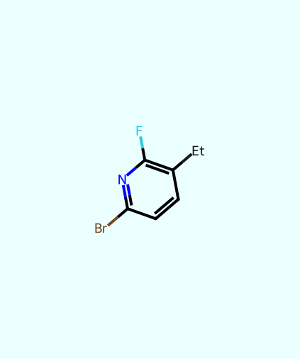 CCc1ccc(Br)nc1F